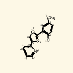 CSc1ccc(Cl)c(-c2nc(-c3ccccn3)co2)c1